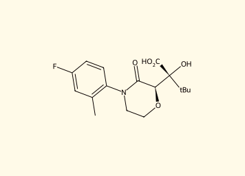 Cc1cc(F)ccc1N1CCO[C@H]([C@@](O)(C(=O)O)C(C)(C)C)C1=O